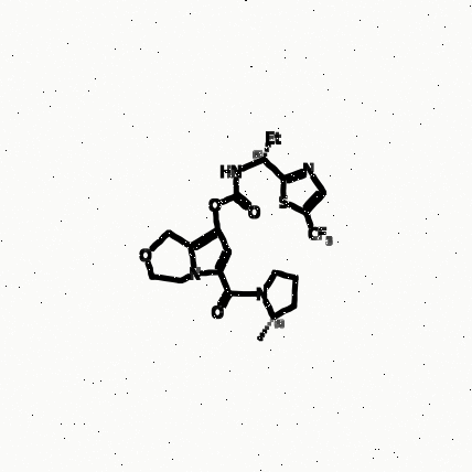 CC[C@@H](NC(=O)Oc1cc(C(=O)N2CCC[C@@H]2C)n2c1COCC2)c1ncc(C(F)(F)F)s1